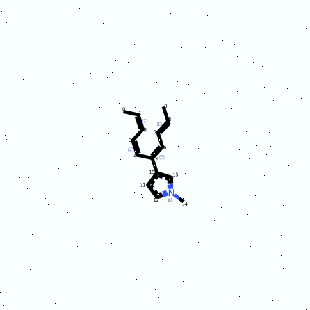 C\C=C/C=C\C(=C/C=C/C)c1ccn(C)c1